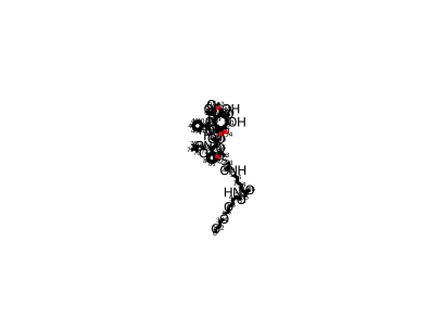 COCCOCCOCCC(=O)NC(CCCCNC(=O)CSCC(=O)O[C@@H](C(=O)O[C@H]1C[C@@]2(O)[C@@H](OC(=O)c3ccccc3)[C@H]3[C@](C)(C(=O)[C@H](O)C([C@@H]1C)C2(C)C)[C@@H](O)CC1OC[C@]13OC(C)=O)[C@@H](NC(=O)OC(C)(C)C)c1ccccc1)C(C)=O